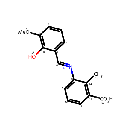 COc1cccc(/C=N/c2cccc(C(=O)O)c2C)c1O